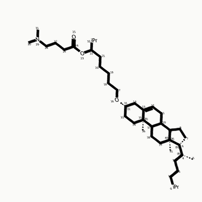 CC(C)CCC[C@@H](C)[C@H]1CCC2C3CC=C4C[C@@H](OCCCCCC(OC(=O)CCCN(C)C)C(C)C)CC[C@]4(C)C3CC[C@@]21C